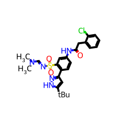 CN(C)/C=N/S(=O)(=O)c1cc(NC(=O)Cc2ccccc2Cl)ccc1-c1cc(C(C)(C)C)[nH]n1